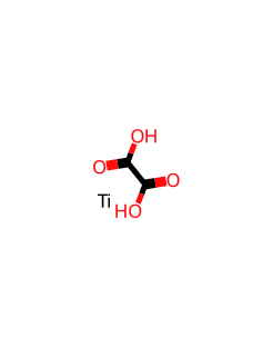 O=C(O)C(=O)O.[Ti]